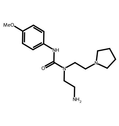 COc1ccc(NC(=O)N(CCN)CCN2CCCC2)cc1